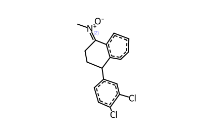 C/[N+]([O-])=C1\CCC(c2ccc(Cl)c(Cl)c2)c2ccccc21